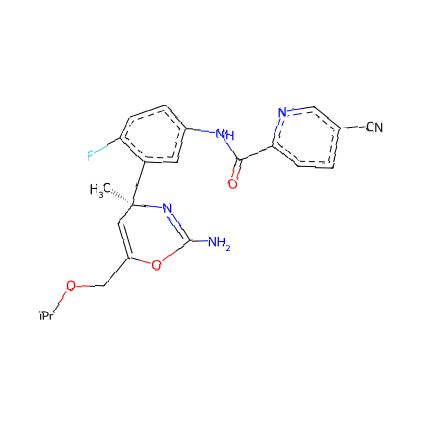 CC(C)OCC1=C[C@@](C)(c2cc(NC(=O)c3ccc(C#N)cn3)ccc2F)N=C(N)O1